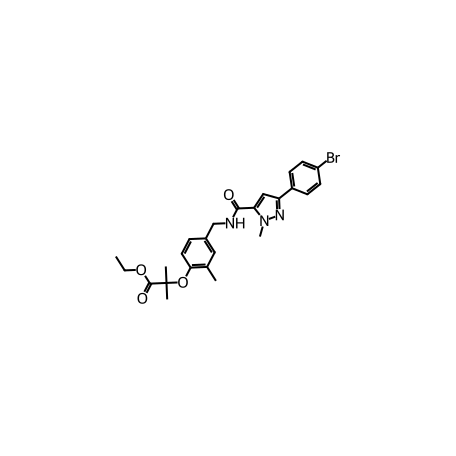 CCOC(=O)C(C)(C)Oc1ccc(CNC(=O)c2cc(-c3ccc(Br)cc3)nn2C)cc1C